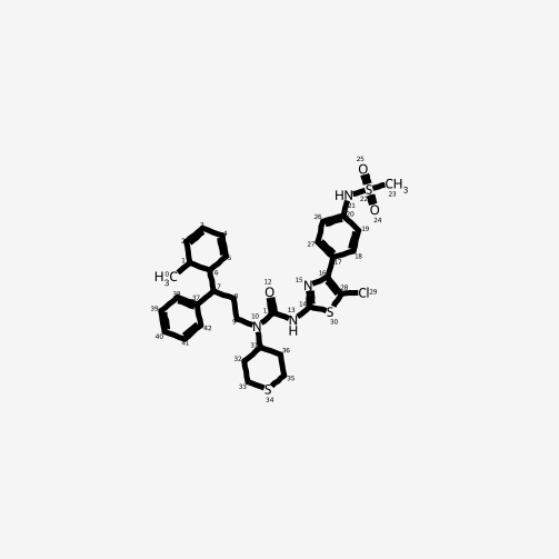 CC1C=CC=CC1C(CCN(C(=O)Nc1nc(-c2ccc(NS(C)(=O)=O)cc2)c(Cl)s1)C1CCSCC1)c1ccccc1